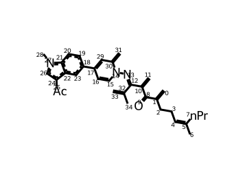 C=C(CC/C=C(/C)CCC)C(=O)C(=C)/C(=N/N1C=CC(c2ccc3c(c2)c(C(C)=O)cn3C)=CC1=C)C(=C)C